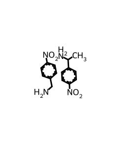 CC(N)c1ccc([N+](=O)[O-])cc1.NCc1ccc([N+](=O)[O-])cc1